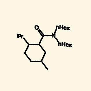 CCCCCCN(CCCCCC)C(=O)C1CC(C)CCC1C(C)C